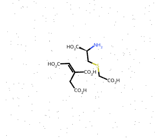 N[C@@H](CSCC(=O)O)C(=O)O.O=C(O)/C=C(\CC(=O)O)C(=O)O